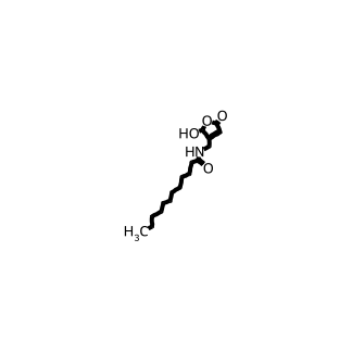 CCCCCCCCCCCC(=O)NCC1=CC(=O)OC1O